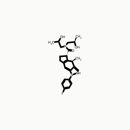 CC(O)CN(C[C@@H](C)O)C(=O)[C@H]1CCC2=C1[C@@H](C)C1=CNN(c3ccc(F)cc3)C1=C2